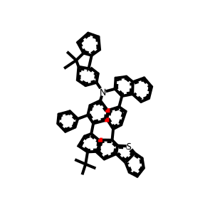 CC(C)(C)c1ccc(-c2ccc(N(c3ccc4c(c3)-c3ccccc3C4(C)C)c3ccc4ccccc4c3-c3ccc(-c4cccc5c4sc4ccccc45)cc3)cc2-c2ccccc2)cc1